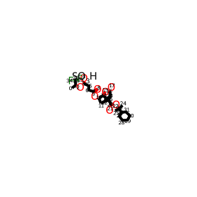 CC(OC(=O)CCC(=O)OC1C2CC3C1OC(=O)C3C2C(=O)OC(C)(C)C1CCCCC1)C(F)(F)S(=O)(=O)O